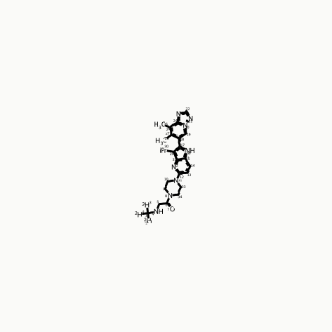 [2H]C([2H])([2H])NCC(=O)N1CCN(c2ccc3[nH]c(-c4cn5ncnc5c(C)c4C)c(C(C)C)c3n2)CC1